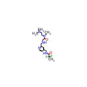 CCN(CCN(C)C)C(=O)CNCc1cc(CNC(=O)C(C)(F)F)ccn1